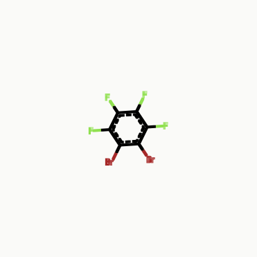 Fc1c(F)c(F)c(Br)c(Br)c1F